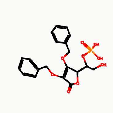 O=C1OC(C(CO)OP(=O)(O)O)C(OCc2ccccc2)=C1OCc1ccccc1